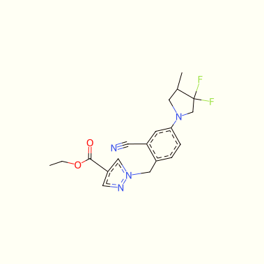 CCOC(=O)c1cnn(Cc2ccc(N3CC(C)C(F)(F)C3)cc2C#N)c1